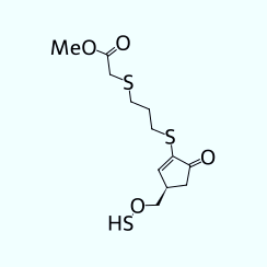 COC(=O)CSCCCSC1=C[C@H](COS)CC1=O